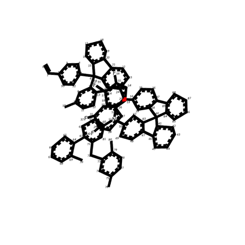 C=Cc1ccc(C2(c3cc(C)ccc3C)c3ccccc3-c3ccc(N(c4ccc(F)c(F)c4)c4ccc5c(c4)C4(c6ccccc6-c6ccc(N(c7ccc(F)c(F)c7)c7ccc(-c8ccccc8C)c(Cc8cc(C)ccc8C)c7)cc64)c4ccccc4-5)cc32)cc1